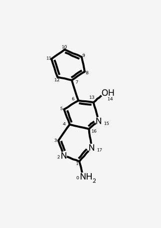 Nc1ncc2cc(-c3ccccc3)c(O)nc2n1